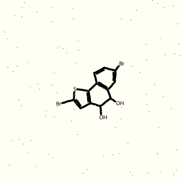 OC1c2cc(Br)ccc2-c2sc(Br)cc2C1O